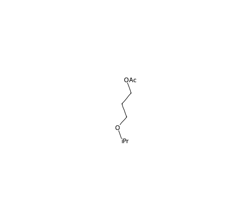 CC(=O)OCCCOC(C)C